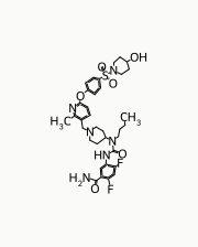 CCCCN(C(=O)Nc1cc(C(N)=O)c(F)cc1F)C1CCN(Cc2ccc(Oc3ccc(S(=O)(=O)N4CCC(O)CC4)cc3)nc2C)CC1